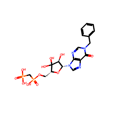 O=c1c2ncn([C@@H]3O[C@H](COP(=O)(O)CP(=O)(O)O)C(O)(O)[C@H]3O)c2ncn1Cc1ccccc1